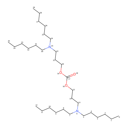 CCCCCCN(CCCCCC)CCCOC(=O)OCCCN(CCCCCC)CCCCCC